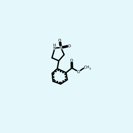 COC(=O)c1ccccc1C1CNS(=O)(=O)C1